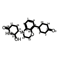 O=C1CCC(c2cccc3c2OCCN3[C@H]2CCC(=O)NC2O)CC1